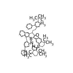 CC(C)(C)c1ccc(CCC2c3cc4ccccc4c4c3B3c5c2oc2cc6c(cc52)C(C)(CCC6(C)C)c2cc(cc5c2C(C)(C)CCC5(C)C)N3c2cc(-c3ccccc3)ccc2-4)c(-c2ccccc2)c1